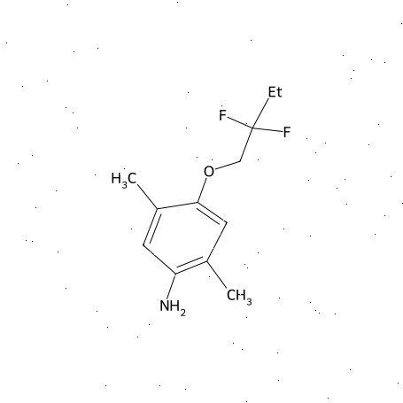 CCC(F)(F)COc1cc(C)c(N)cc1C